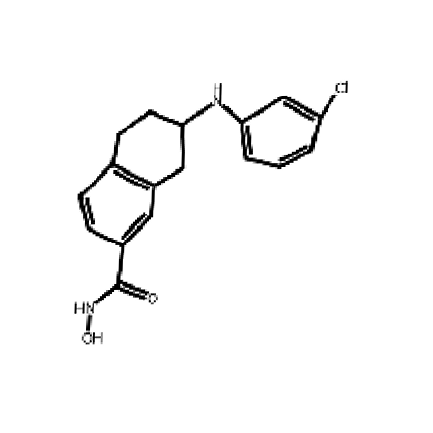 O=C(NO)c1ccc2c(c1)CC(Nc1cccc(Cl)c1)CC2